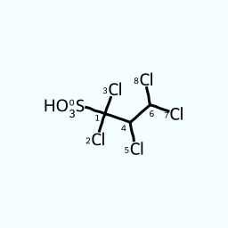 O=S(=O)(O)C(Cl)(Cl)C(Cl)C(Cl)Cl